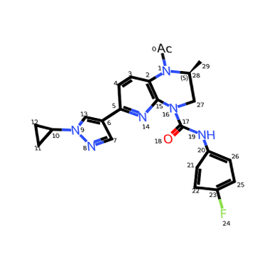 CC(=O)N1c2ccc(-c3cnn(C4CC4)c3)nc2N(C(=O)Nc2ccc(F)cc2)C[C@@H]1C